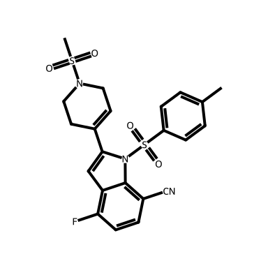 Cc1ccc(S(=O)(=O)n2c(C3=CCN(S(C)(=O)=O)CC3)cc3c(F)ccc(C#N)c32)cc1